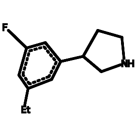 CCc1cc(F)cc(C2CCNC2)c1